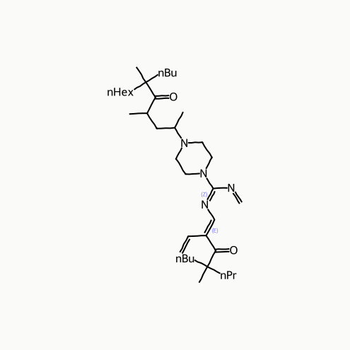 C=C/C(=C\N=C(/N=C)N1CCN(C(C)CC(C)C(=O)C(C)(CCCC)CCCCCC)CC1)C(=O)C(C)(CCC)CCCC